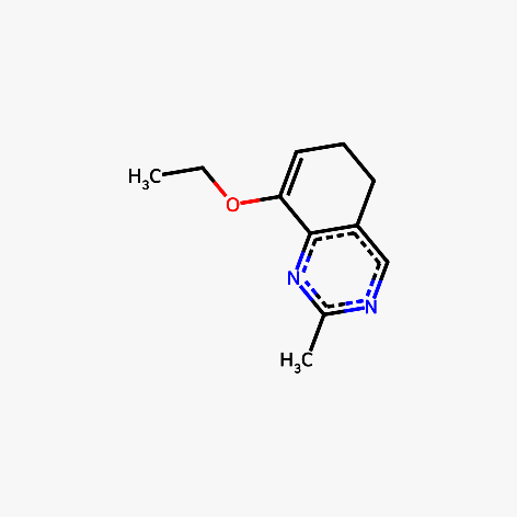 CCOC1=CCCc2cnc(C)nc21